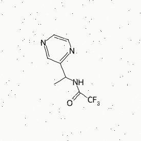 CC(NC(=O)C(F)(F)F)c1cnccn1